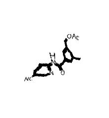 CC(=O)OCc1cc(C)cc(C(=O)Nc2ccc(C#N)cn2)c1